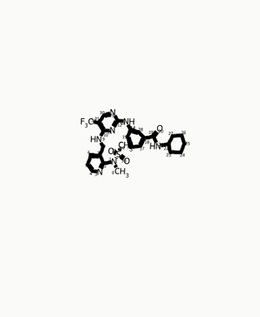 CN(c1ncccc1CNc1nc(Nc2cccc(C(=O)NC3CCCCC3)c2)ncc1C(F)(F)F)S(C)(=O)=O